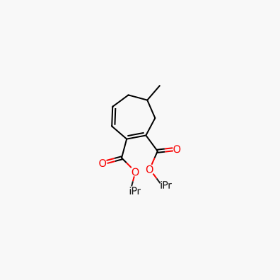 CC1CC=CC(C(=O)OC(C)C)=C(C(=O)OC(C)C)C1